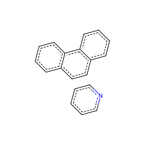 c1ccc2c(c1)ccc1ccccc12.c1ccncc1